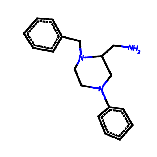 NCC1CN(c2ccccc2)CCN1Cc1ccccc1